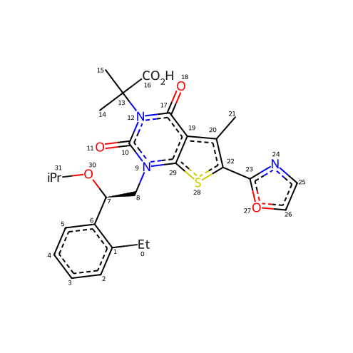 CCc1ccccc1[C@H](Cn1c(=O)n(C(C)(C)C(=O)O)c(=O)c2c(C)c(-c3ncco3)sc21)OC(C)C